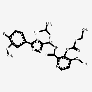 CCOC(=O)Oc1c(OC)ccnc1C(=O)N[C@@H](CC(C)C)c1noc(-c2ccc(F)c(OC)c2)n1